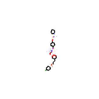 O=C(NC(Oc1ccc(CCCS(=O)(=O)c2ccc(Cl)cc2)cc1)C(=O)O)c1ccc(COc2nc3cc(Cl)ccc3s2)cc1